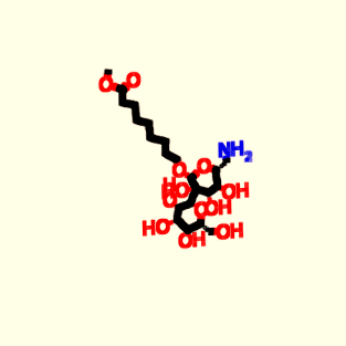 COC(=O)CCCCCCCCO[C@H]1O[C@H](CN)[C@@H](O)[C@H](O)[C@]1(O)[C@@H]1O[C@H](CO)[C@@H](O)[C@H](O)[C@H]1O